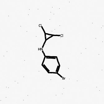 ClC1C(Cl)C1Nc1ccc(Br)cc1